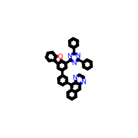 c1ccc(-c2nc(-c3ccccc3)nc(-c3cc(-c4cccc(-c5c6ccccc6cc6nccnc56)c4)cc4c3oc3ccccc34)n2)cc1